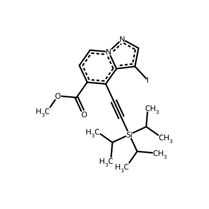 COC(=O)c1ccn2ncc(I)c2c1C#C[Si](C(C)C)(C(C)C)C(C)C